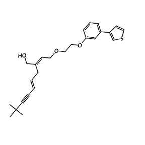 CC(C)(C)C#C/C=C/C/C(=C\COCCOc1cccc(-c2ccsc2)c1)CO